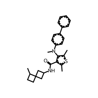 Cc1sc(C)c(N(C)c2ccc(-c3ccccc3)cc2)c1C(=O)NC1CC2(CCC2C)C1